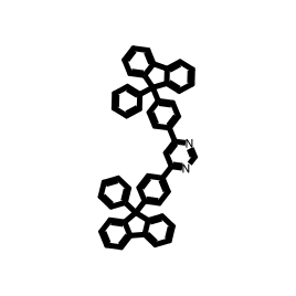 c1ccc(C2(c3ccc(-c4cc(-c5ccc(C6(c7ccccc7)c7ccccc7-c7ccccc76)cc5)ncn4)cc3)c3ccccc3-c3ccccc32)cc1